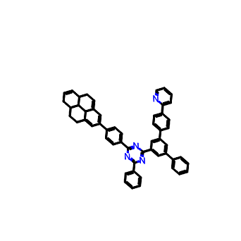 C1=CC2CC=C3C=C(c4ccc(-c5nc(-c6ccccc6)nc(-c6cc(-c7ccccc7)cc(-c7ccc(-c8ccccn8)cc7)c6)n5)cc4)C=C4CCC(C1)C2C34